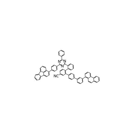 N#Cc1ccc(-c2ccccc2-c2nc(-c3ccccc3)nc(-c3ccc(-c4ccc5c6c(cccc46)-c4ccccc4-5)cc3)n2)c(-c2ccc(-c3cccc(-c4cccc5c4ccc4ccccc45)c3)cc2)c1